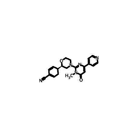 Cn1c(N2CCO[C@H](C3C=CC(C#N)=CC3)C2)nc(-c2ccncc2)cc1=O